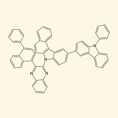 c1ccc(-c2ccc(-c3nc4ccccc4nc3-n3c4ccc(-c5ccc6c(c5)c5ccccc5n6-c5ccccc5)cc4c4c5ccccc5ccc43)c3ccccc23)cc1